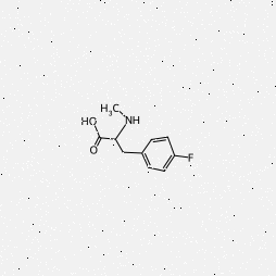 CNC(Cc1ccc(F)cc1)C(=O)O